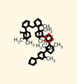 Cc1cc(-c2ccccc2)ccc1C12CCC(C)(C(c3cccc(N4C(C)C5(c6c(C)cccc6Cc6ccccc6C67CCC(C)(CC6)N(C)C7I)CCC4(C)CC5)c3)C1)N(c1ccccc1)C2C